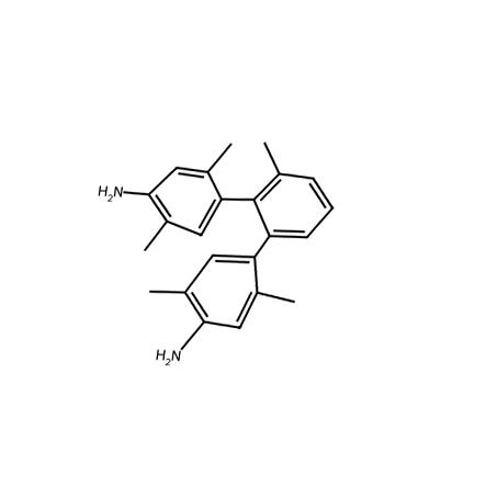 Cc1cc(-c2cccc(C)c2-c2cc(C)c(N)cc2C)c(C)cc1N